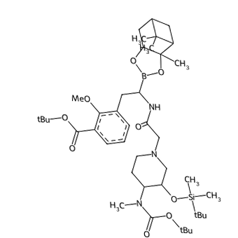 COc1c(CC(NC(=O)CN2CCC(N(C)C(=O)OC(C)(C)C)C(O[Si](C)(C)C(C)(C)C)C2)B2OC3CC4CC(C4(C)C)C3(C)O2)cccc1C(=O)OC(C)(C)C